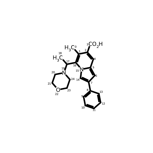 Cc1c(C(=O)O)cc2cc(-c3ccccc3)cn2c1C(C)N1CCOCC1